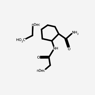 CCCCCCCCCCCC(=O)NC1CCCCC1C(N)=O.CCCCCCCCCCCC(=O)O